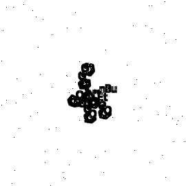 CCCCC(CC)Cn1c(-c2ccc(OC3CCCCO3)cc2)c(OC2CCCCO2)c(=O)c2c(OC3CCCCO3)cc(OC3CCCCO3)cc21